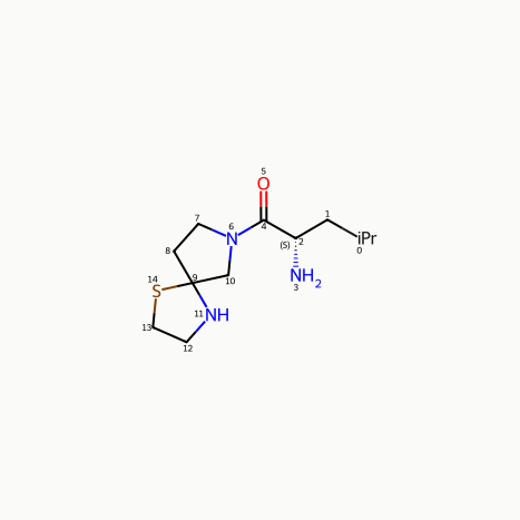 CC(C)C[C@H](N)C(=O)N1CCC2(C1)NCCS2